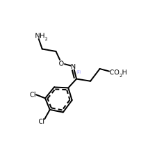 NCCO/N=C(/CCC(=O)O)c1ccc(Cl)c(Cl)c1